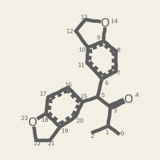 CC(C)C(=O)C(c1ccc2c(c1)CCO2)c1ccc2c(c1)CCO2